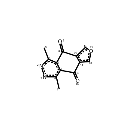 Cc1nnc(C)c2c1C(=O)c1cocc1C2=O